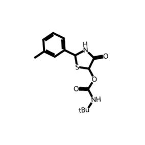 Cc1cccc(C2NC(=O)C(OC(=O)NC(C)(C)C)S2)c1